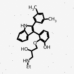 CCNCC(O)COc1c(O)cccc1-c1c(-c2cc(C)cc(C)c2)[nH]c2ccccc12